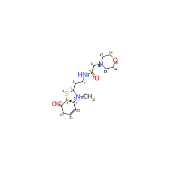 CN1C2=C(SC1CCNC(=O)CN1CCOCC1)C(=O)CC=C2